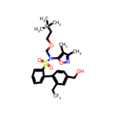 Cc1noc(N(COCC[Si](C)(C)C)S(=O)(=O)c2ccccc2-c2ccc(CO)cc2CC(F)(F)F)c1C